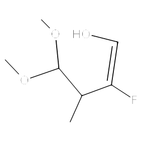 COC(OC)C(C)/C(F)=C\O